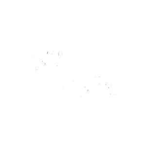 CCN1[C@H]2CC[C@H](C2)[C@H]1COc1ccc2c(c1)CN(C1CCC(=O)NC1=O)C2=O